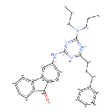 CCCN(CCC)c1nc(CCCc2ccccc2)nc(Nc2ccc3c(c2)-c2ccccc2C3=O)n1